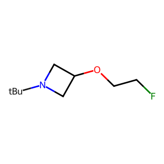 CC(C)(C)N1CC(OCCF)C1